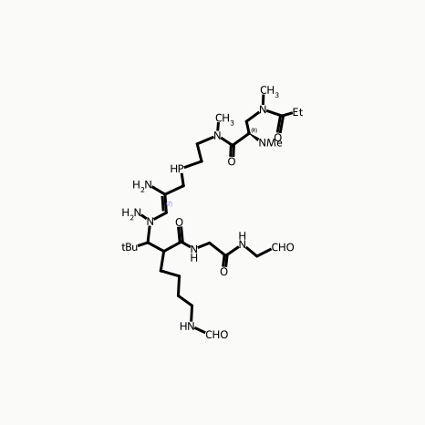 CCC(=O)N(C)C[C@@H](NC)C(=O)N(C)CCPC/C(N)=C/N(N)C(C(CCCCNC=O)C(=O)NCC(=O)NCC=O)C(C)(C)C